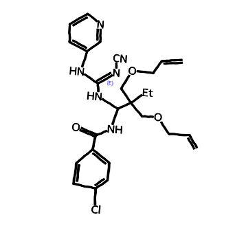 C=CCOCC(CC)(COCC=C)C(NC(=O)c1ccc(Cl)cc1)N/C(=N/C#N)Nc1cccnc1